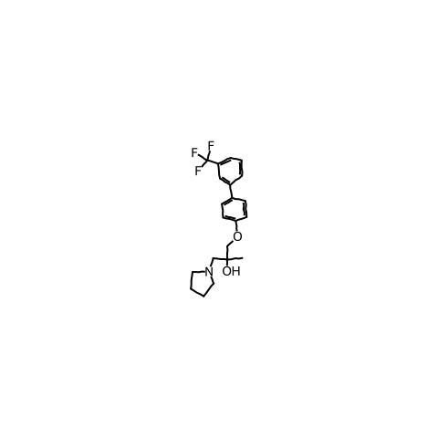 CC(O)(COc1ccc(-c2cccc(C(F)(F)F)c2)cc1)CN1CCCC1